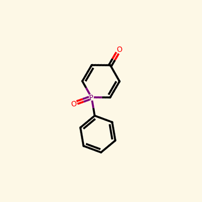 O=C1C=CP(=O)(c2ccccc2)C=C1